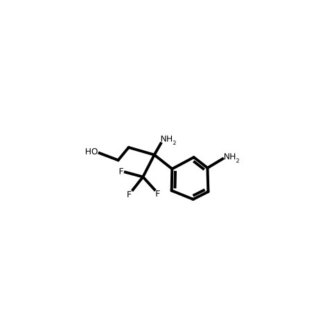 Nc1cccc(C(N)(CCO)C(F)(F)F)c1